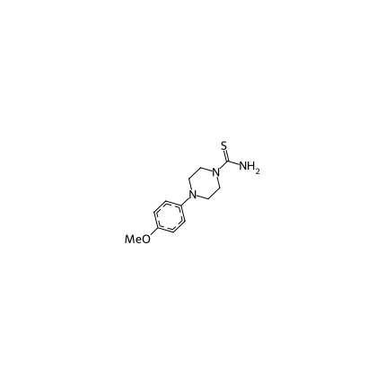 COc1ccc(N2CCN(C(N)=S)CC2)cc1